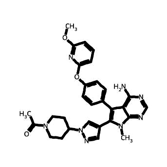 COc1cccc(Oc2ccc(-c3c(-c4cnn(C5CCN(C(C)=O)CC5)c4)n(C)c4ncnc(N)c34)cc2)n1